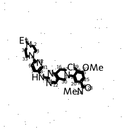 CCN1CCN(c2ccc(Nc3ncc4c(n3)CCN(c3cc(C(=O)NC)cc(OC)c3Cl)C4)cn2)CC1